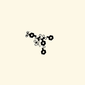 CC(=O)O[C@H]1[C@H](/N=C/c2ccc([N+](=O)[O-])cc2)C(=O)N1C(C(=O)OCc1ccccc1)c1ccc(OCc2ccccc2)cc1